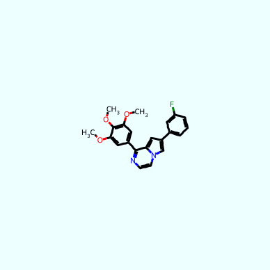 COc1cc(-c2nccn3cc(-c4cccc(F)c4)cc23)cc(OC)c1OC